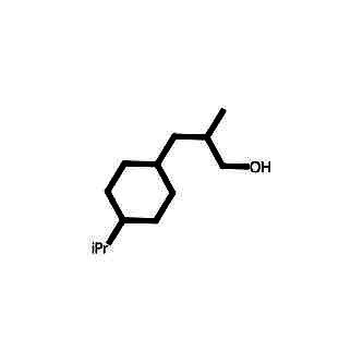 CC(CO)CC1CCC(C(C)C)CC1